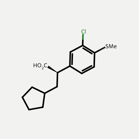 CSc1ccc([C@@H](CC2CCCC2)C(=O)O)cc1Cl